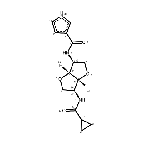 O=C(N[C@H]1CO[C@H]2[C@@H]1OC[C@@H]2NC(=O)C1CC1)c1cc[nH]c1